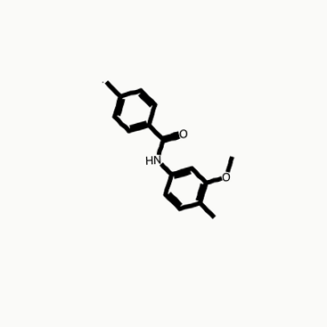 [CH2]c1ccc(C(=O)Nc2ccc(C)c(OC)c2)cc1